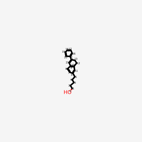 OCCCCCc1ccc2c(c1)CCC(c1ccccc1)=C2